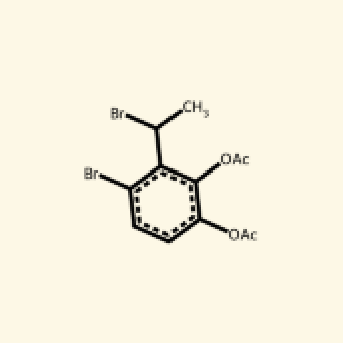 CC(=O)Oc1ccc(Br)c(C(C)Br)c1OC(C)=O